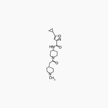 CN1CCC(CC(=O)N2CCC(NC(=O)c3cc(C4CC4)on3)CC2)CC1